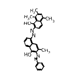 Cc1cc2c(N=Nc3ccc4c(C)cc(C)c(C)c4c3O)cccc2c(O)c1N=Nc1ccccc1